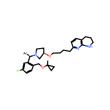 CC(=O)[C@H](c1cc(F)ccc1COC1(C)CC1)N1CC[C@@H](OCCCCc2ccc3c(n2)NCCC3)C1